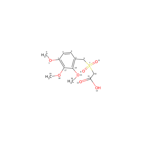 COc1ccc(CS(=O)(=O)CC(=O)O)c(OC)c1OC